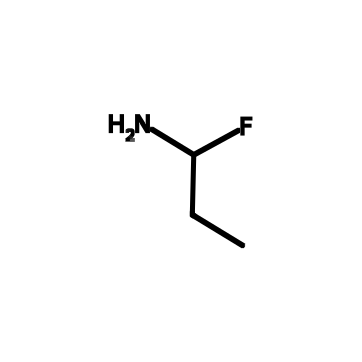 CCC(N)F